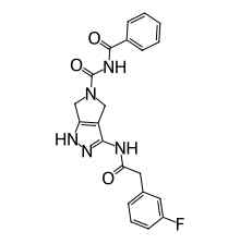 O=C(Cc1cccc(F)c1)Nc1n[nH]c2c1CN(C(=O)NC(=O)c1ccccc1)C2